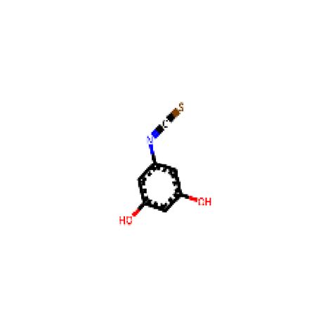 Oc1cc(O)cc(N=C=S)c1